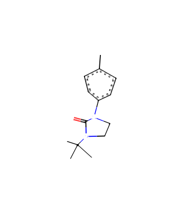 Cc1ccc(N2CCN(C(C)(C)C)C2=O)cc1